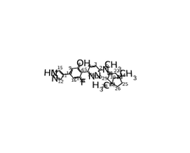 CN(c1ccc(-c2c(O)cc(-c3cn[nH]c3)cc2F)nn1)[C@H]1C[C@]2(C)CC[C@](C)(C1)C2